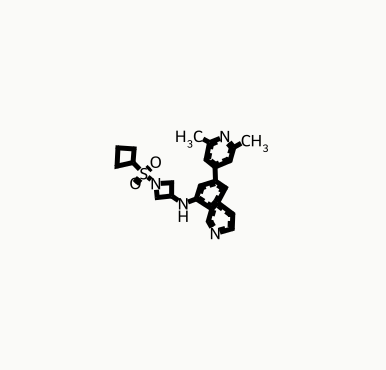 Cc1cc(-c2cc(NC3CN(S(=O)(=O)C4CCC4)C3)c3cnccc3c2)cc(C)n1